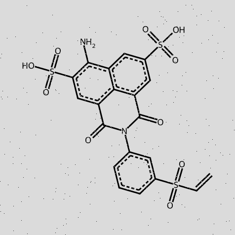 C=CS(=O)(=O)c1cccc(N2C(=O)c3cc(S(=O)(=O)O)cc4c(N)c(S(=O)(=O)O)cc(c34)C2=O)c1